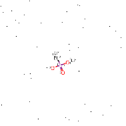 CCP(=O)([O-])[O-].[Li+].[Li+]